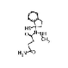 CNN(C(=O)CCC(N)=O)C1(S)CCc2ccccc21